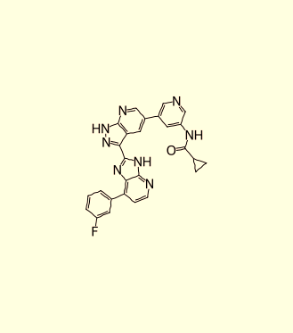 O=C(Nc1cncc(-c2cnc3[nH]nc(-c4nc5c(-c6cccc(F)c6)ccnc5[nH]4)c3c2)c1)C1CC1